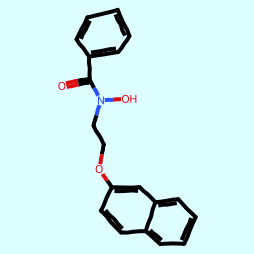 O=C(c1ccccc1)N(O)CCOc1ccc2ccccc2c1